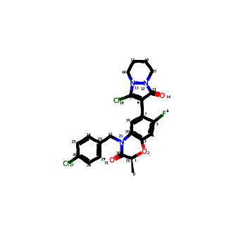 C[C@@H]1Oc2cc(F)c(-c3c(Cl)n4n(c3=O)CCCC4)cc2N(Cc2ccc(Cl)cc2)C1=O